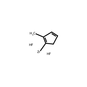 CC1=[C]([Zr])CC=C1.F.F